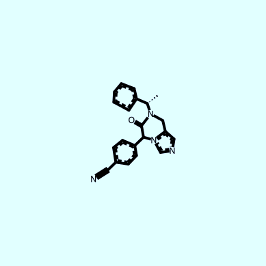 C[C@@H](c1ccccc1)N1Cc2cncn2C(c2ccc(C#N)cc2)C1=O